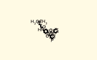 CN(C)CCCC(=O)NC1CCC(n2c(=O)c3cc(F)cnc3n(C3CCSCC3)c2=O)CC1